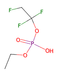 CCOP(=O)(O)OC(F)(F)CF